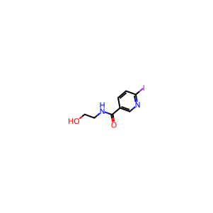 O=C(NCCO)c1ccc(I)nc1